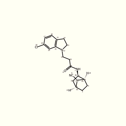 N#CN1[C@H]2CC[C@@H]1[C@H](NC(=O)CCN1CCc3ccc(Cl)cc31)C2